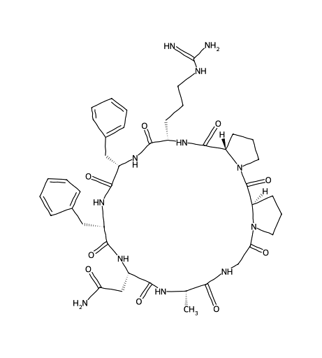 C[C@@H]1NC(=O)[C@H](CC(N)=O)NC(=O)[C@H](Cc2ccccc2)NC(=O)[C@H](Cc2ccccc2)NC(=O)[C@H](CCCNC(=N)N)NC(=O)[C@@H]2CCCN2C(=O)[C@H]2CCCN2C(=O)CNC1=O